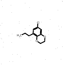 CCCc1cc(Cl)cc2c1OCCO2